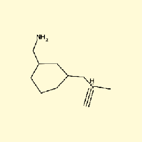 C#[SH](C)CC1CCCC(CN)C1